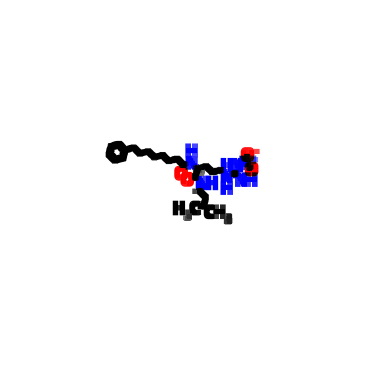 CC(C)C[CH]NC(=O)[C@H](CCCNC(=N)N[N+](=O)[O-])NC(=O)CCCCCCCc1ccccc1